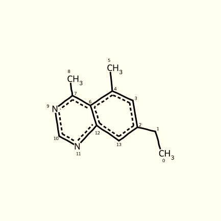 CCc1cc(C)c2c(C)ncnc2c1